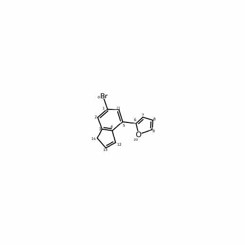 Brc1cc2c(c(-c3ccco3)c1)C=CC2